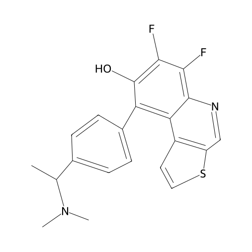 CC(c1ccc(-c2c(O)c(F)c(F)c3ncc4sccc4c23)cc1)N(C)C